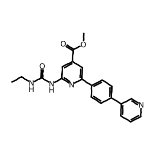 CCNC(=O)Nc1cc(C(=O)OC)cc(-c2ccc(-c3cccnc3)cc2)n1